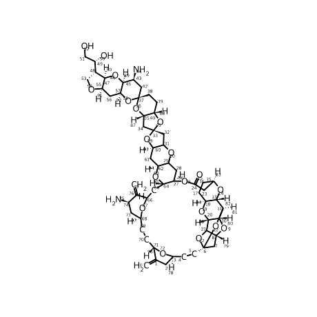 C=C1C[C@@H]2CC[C@@]34C[C@H]5O[C@H]6[C@@H](O3)[C@H]3O[C@H](CC[C@@H]3O[C@H]6C5O4)CC(=O)O[C@@H]3CC4OC5C[C@]6(C[C@@H]7O[C@@]8(CC[C@@H]7O6)C[C@H](N)[C@@H]6O[C@@H]7[C@@H]([C@@H](O)CO)CO[C@@H]7C[C@@H]6O8)O[C@@H]5C[C@@H]4O[C@H]3C[C@H]3O[C@@H](CC[C@@H]1O2)C[C@@H](N)C3=C